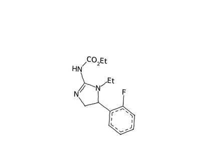 CCOC(=O)NC1=NCC(c2ccccc2F)N1CC